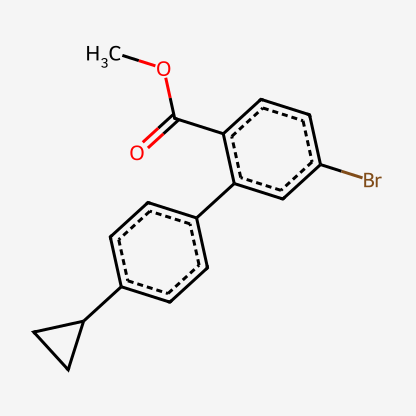 COC(=O)c1ccc(Br)cc1-c1ccc(C2CC2)cc1